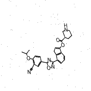 CC(C)Oc1ccc(-c2nc(-c3cccc4c3CC=C4OC(=O)C3CCCNC3)no2)cc1C#N